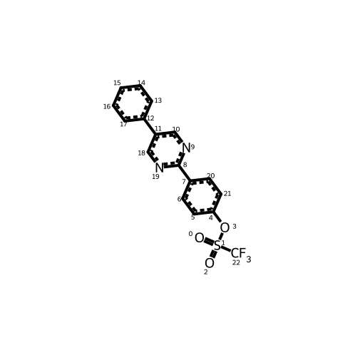 O=S(=O)(Oc1ccc(-c2ncc(-c3ccccc3)cn2)cc1)C(F)(F)F